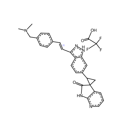 CN(C)Cc1ccc(/C=C/c2n[nH]c3cc(C4CC45C(=O)Nc4ncccc45)ccc23)cc1.O=C(O)C(F)(F)F